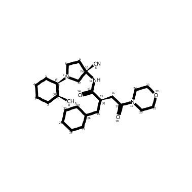 C[C@H]1CCCC[C@H]1N1CC[C@](C#N)(NC(=O)[C@@H](CC(=O)N2CCOCC2)CC2CCCCC2)C1